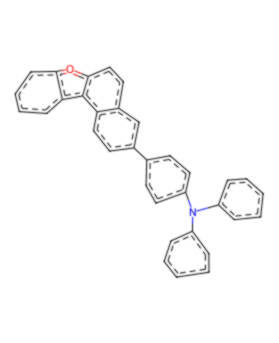 c1ccc(N(c2ccccc2)c2ccc(-c3ccc4c(ccc5oc6ccccc6c54)c3)cc2)cc1